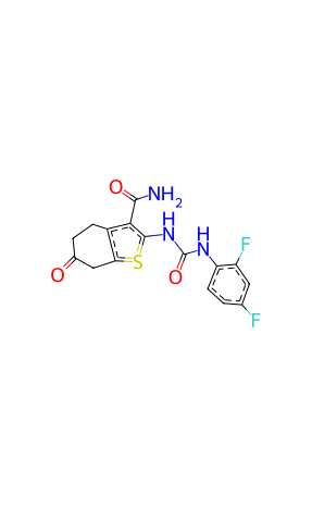 NC(=O)c1c(NC(=O)Nc2ccc(F)cc2F)sc2c1CCC(=O)C2